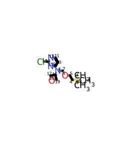 CS(C)(C)CCOCN(c1ccnc(Cl)n1)C1COC1